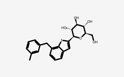 Cc1cccc(Cc2cccc3cc([C@@H]4O[C@H](CO)[C@@H](O)[C@H](O)[C@H]4O)sc23)c1